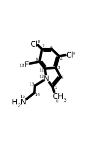 Cc1cc2c(Cl)cc(Cl)c(F)c2n1CCN